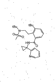 CC(C)(C)c1cccc(C(=O)NC2(c3ccccn3)CC2)c1CCN(C(C)(C)C)S(C)(=O)=O